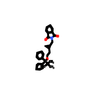 CC(C)(C)[Si](OCCC1CC1CN1C(=O)c2ccccc2C1=O)(c1ccccc1)c1ccccc1